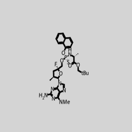 CNc1nc(N)nc2c1ncn2[C@@H]1O[C@](F)(CO[P@@](=S)(N[C@H](C)C(=O)OCC(C)(C)C)Oc2cccc3ccccc23)C[C@@H]1C